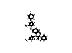 COc1ccc(N2C(=O)N(c3c(C)cccc3Cl)Cc3cnc(Nc4ccc(N5CCN(C)CC5)cc4OC)nc32)nc1